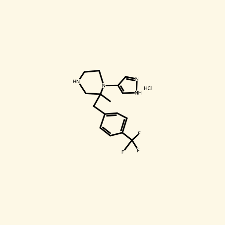 CC1(Cc2ccc(C(F)(F)F)cc2)CNCCN1c1cn[nH]c1.Cl